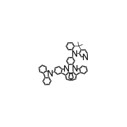 CC1(C)c2ccccc2N(c2ccc(-n3c4ccccc4c4cc(-n5c6ccccc6c6ccccc65)ccc43)c(-n3c4ccccc4c4ccccc43)c2)c2cnccc21